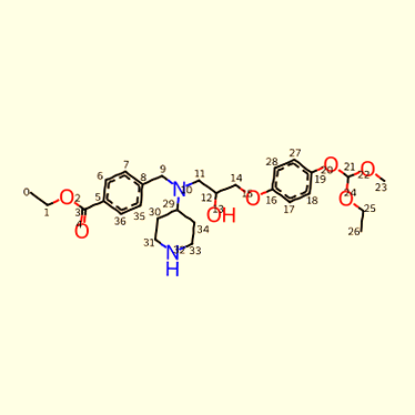 CCOC(=O)c1ccc(CN(CC(O)COc2ccc(OC(OC)OCC)cc2)C2CCNCC2)cc1